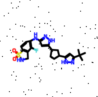 CC(C)(C)c1cc(C2CCC(c3cc(Nc4ccc5c(c4F)CNS5(=O)=O)n[nH]3)C2)[nH]n1